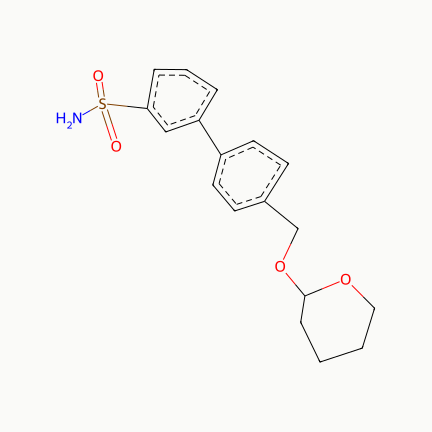 NS(=O)(=O)c1cccc(-c2ccc(COC3CCCCO3)cc2)c1